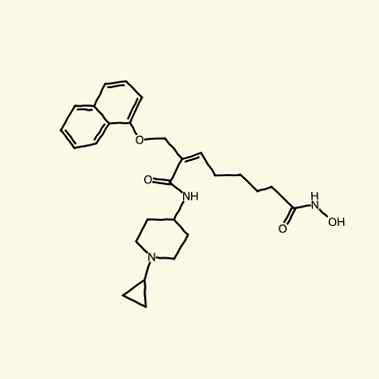 O=C(CCCCC=C(COc1cccc2ccccc12)C(=O)NC1CCN(C2CC2)CC1)NO